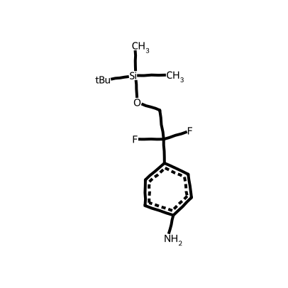 CC(C)(C)[Si](C)(C)OCC(F)(F)c1ccc(N)cc1